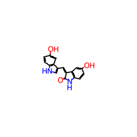 O=C1Nc2ccc(O)cc2C1=Cc1c[nH]c2ccc(O)cc12